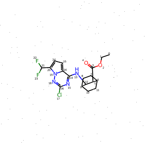 CCOC(=O)C1C2CCC(CC2)C1Nc1nc(Cl)nn2c(C(F)F)ccc12